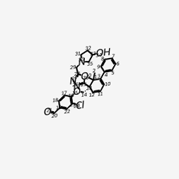 CC1(C)C(c2ccccc2)=CC=C[C@@]1(COc1ccc(C=O)cc1Cl)c1nnc(CN2CCC(O)C2)o1